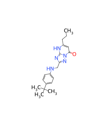 CCCc1cc(=O)n2nc(CNc3ccc(C(C)(C)C)cc3)nc2[nH]1